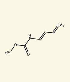 C=CC=CNC(=O)OCCC